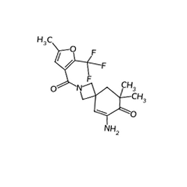 Cc1cc(C(=O)N2CC3(C=C(N)C(=O)C(C)(C)C3)C2)c(C(F)(F)F)o1